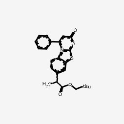 CC(C(=O)OCC(C)(C)C)c1ccc2c(c1)sc1nc(=O)cc(-c3ccccc3)n12